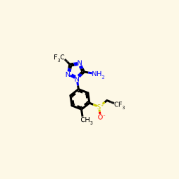 Cc1ccc(-n2nc(C(F)(F)F)nc2N)cc1[S+]([O-])CC(F)(F)F